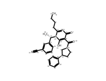 CCCCc1nc(=O)c(C(=O)N2CC[C@@H](c3ccccc3)C2)c(O)n1[C@@H](C)c1cccc(C#N)c1